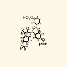 O=C(O)C1CCCC([C@H]2C[C@@H](NC(=O)C3(c4ccc5c(c4)OC(F)(F)O5)CC3)c3ccc(OC(F)F)cc3O2)C1